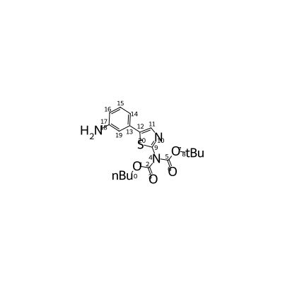 CCCCOC(=O)N(C(=O)OC(C)(C)C)c1ncc(-c2cccc(N)c2)s1